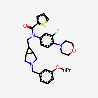 CCCOc1cccc(CN2CC3C(C2)C3CN(C(=O)c2cccs2)c2ccc(N3CCOCC3)c(F)c2)c1